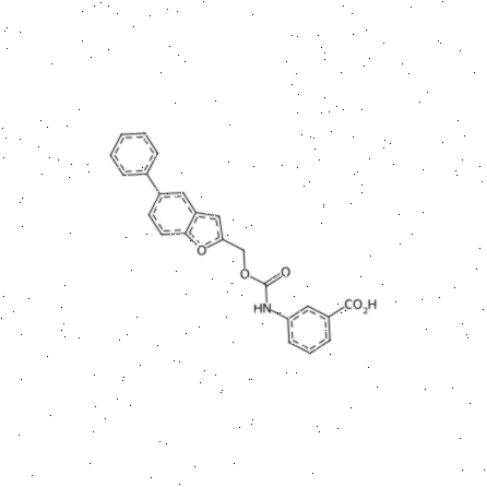 O=C(Nc1cccc(C(=O)O)c1)OCc1cc2cc(-c3ccccc3)ccc2o1